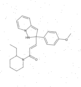 CCC1CCCCN1C(=O)C=CC1(c2ccc(OC)cc2)C=C2C=CC=CN2N1